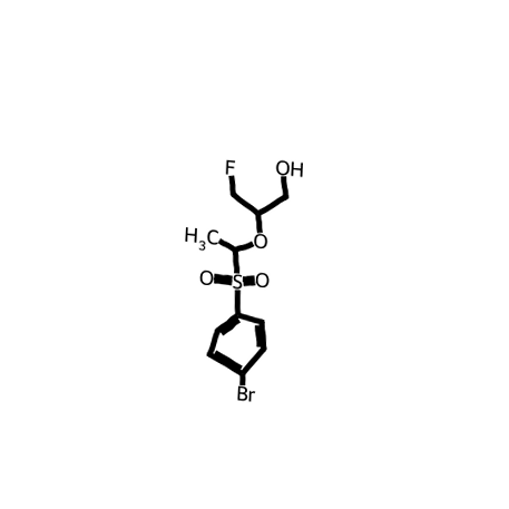 CC(OC(CO)CF)S(=O)(=O)c1ccc(Br)cc1